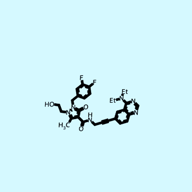 CCN(CC)c1ncnc2ccc(C#CCNC(=O)c3c(C)n(CCO)n(Cc4ccc(F)c(F)c4)c3=O)cc12